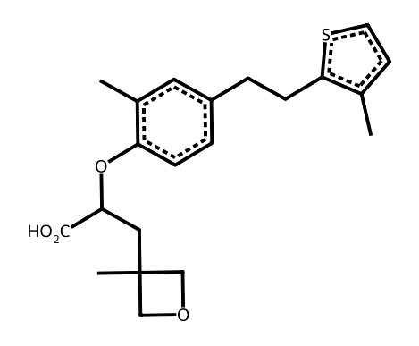 Cc1cc(CCc2sccc2C)ccc1OC(CC1(C)COC1)C(=O)O